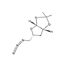 CC1(C)O[C@H]2O[C@@H](CN=[N+]=[N-])C[C@H]2O1